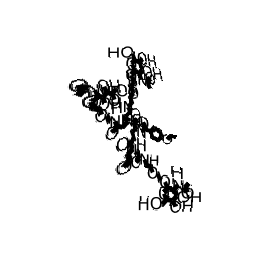 CCOC1CCC(C(=O)NC(CCC(=O)N(CC=O)CC(=O)NCCOCCOC2OC(CO)C(O)C(O)C2NC(C)=O)C(=O)N(CC(=O)NCCOCCOC(NC(C)=O)C(O)C(O)C(CO)OC)CC(=O)NCCOCCOC2OC(CO)C(O)C(O)C2NC(C)=O)CC1